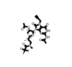 C#CCn1c(=O)n([C@@H]2O[C@H]([C@@H](C)CN(C)C(=O)C(F)(F)F)C[C@H]2OC(C)=O)c2nc(NC(C)=O)[nH]c(=O)c21